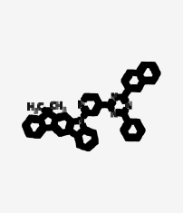 CC1(C)c2ccccc2-c2cc3c4ccccc4n(-c4cc(-c5nc(-c6ccccc6)nc(-c6ccc7ccccc7c6)n5)ccn4)c3cc21